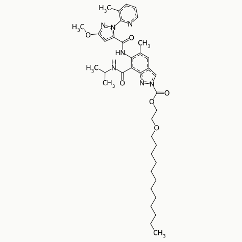 CCCCCCCCCCCCOCCOC(=O)n1cc2cc(C)c(NC(=O)c3cc(OC)nn3-c3ncccc3C)c(C(=O)NC(C)C)c2n1